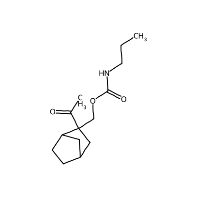 CCCNC(=O)OCC1(C(C)=O)CC2CCC1C2